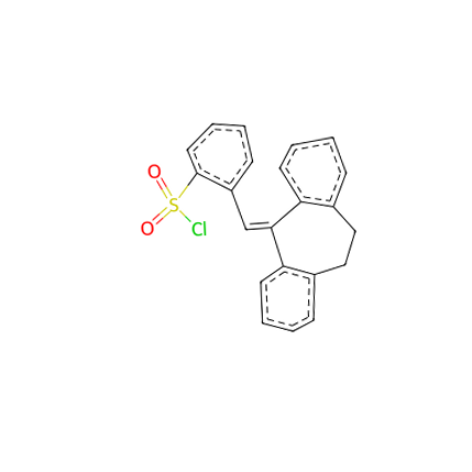 O=S(=O)(Cl)c1ccccc1C=C1c2ccccc2CCc2ccccc21